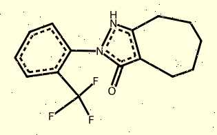 O=c1c2c([nH]n1-c1ccccc1C(F)(F)F)CCCCC2